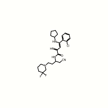 N#CCC(CCN1CCCC(F)(F)C1)NC(=O)C(=N)/C=C(\NC1CCCC1)c1ccccc1Cl